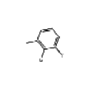 [Li][c]1c(C)cccc1F